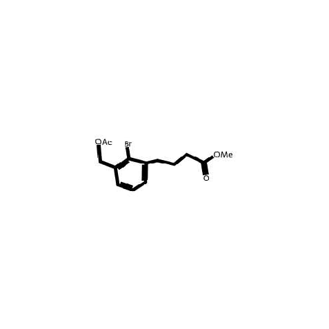 COC(=O)CCCc1cccc(COC(C)=O)c1Br